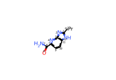 CC(C)c1nc2nc(C(N)=O)ccc2[nH]1